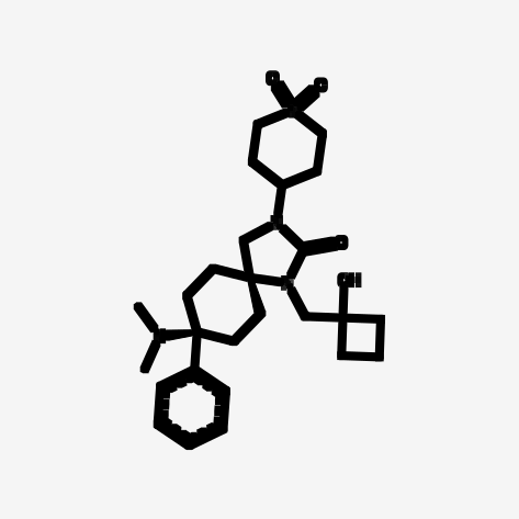 CN(C)[C@]1(c2ccccc2)CC[C@@]2(CC1)CN(C1CCS(=O)(=O)CC1)C(=O)N2CC1(O)CCC1